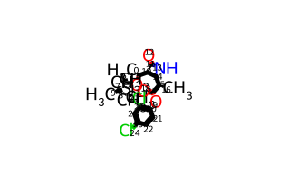 C[C@@H](O[Si](C)(C)C(C)(C)C)[C@H]1C(=O)N[C@@H]1[C@@H](C)C(=O)Oc1ccc(Cl)cc1Cl